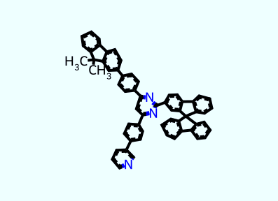 CC1(C)c2ccccc2-c2ccc(-c3ccc(-c4cc(-c5ccc(-c6cccnc6)cc5)nc(-c5ccc6c(c5)C5(c7ccccc7-c7ccccc75)c5ccccc5-6)n4)cc3)cc21